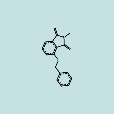 C=C1c2cccc(OCc3ccccc3)c2C(=O)N1C